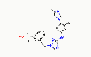 Cc1cn(-c2ccc(Nc3ncn(Cc4cccc(C(C)(C)O)c4)n3)cc2C#N)cn1